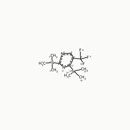 C[Si](C)(C)c1ncc(C(F)(F)F)c([Si](C)(C)C)n1